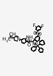 CN(C)C1CCN(c2ccc(C(=O)Nc3nn(C(c4ccccc4)(c4ccccc4)c4ccccc4)c4ccc(S(=O)(=O)c5cc(F)cc(F)c5)cc34)c(N)c2)CC1